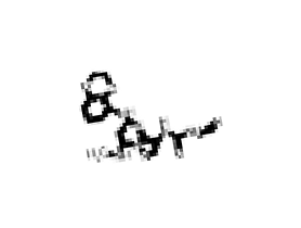 CNc1cc(Nc2cccc3c2OCCO3)nc2c(NC(=O)NCC#N)cnn12